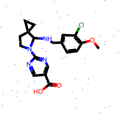 COc1ccc(CNC2N(c3ncc(C(=O)O)cn3)CCC23CC3)cc1Cl